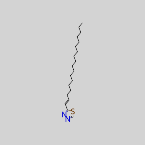 CCCCCCCCCCCCCCCCC=Cc1nncs1